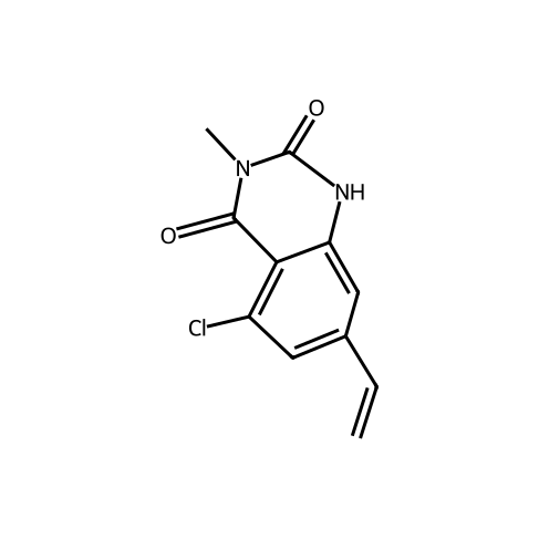 C=Cc1cc(Cl)c2c(=O)n(C)c(=O)[nH]c2c1